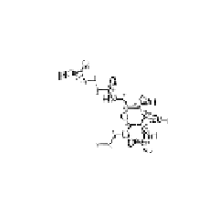 C=CCOC1OC(CNC(=O)CCCC(=O)O)C(O)C(O)C1NC(C)=O